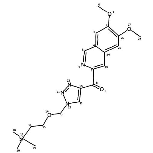 COc1cc2cnc(C(=O)c3cn(COCC[Si](C)(C)C)nn3)cc2cc1OC